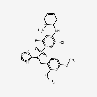 COc1ccc(CN(c2nccs2)S(=O)(=O)c2cc(Cl)c(NC3CC=CC[C@@H]3N)cc2F)c(OC)c1